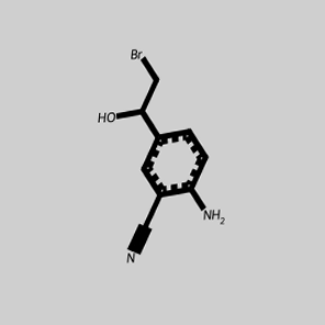 N#Cc1cc(C(O)CBr)ccc1N